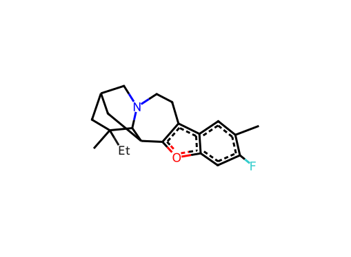 CCC1(C)CC2CC3c4oc5cc(F)c(C)cc5c4CCN(C2)C31